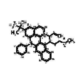 C=CC1C(CCOC)c2c3c(cc4ccccc24)N(c2ccccc2)c2cc(C(C)(C)C)cc4cc[n+]1c-3c24